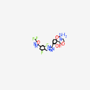 NC(=O)N1CCOCC1c1cccc(-c2nnn(Cc3c(F)cc(-c4nnc(C(F)F)o4)cc3F)n2)c1O